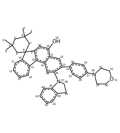 CC1(C)CC(C)(C)CC2(C1)c1ccccc1-c1c2cc(O)c2cc(-c3ccc(N4CCOCC4)cc3)c(N3CCc4ccccc43)cc12